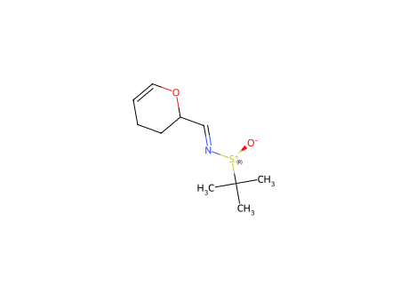 CC(C)(C)[S@+]([O-])N=CC1CCC=CO1